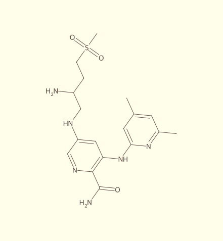 Cc1cc(C)nc(Nc2cc(NCC(N)CCS(C)(=O)=O)cnc2C(N)=O)c1